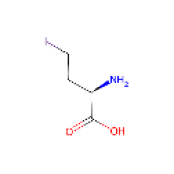 N[C@H](CCI)C(=O)O